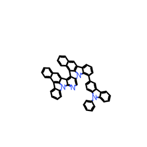 c1ccc(-n2c3ccccc3c3cc(-c4cccc5c6cc7ccccc7c7c8c9c%10cc%11ccccc%11c%11c%12ccccc%12n(c9ncc8n(c45)c67)c%10%11)ccc32)cc1